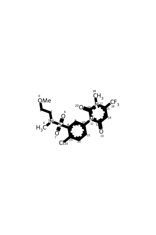 COCCN(C)S(=O)(=O)c1cc(-n2c(=O)cc(C(F)(F)F)n(C)c2=O)ccc1Cl